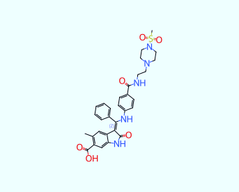 Cc1cc2c(cc1C(=O)O)NC(=O)/C2=C(\Nc1ccc(C(=O)NCCN2CCN(S(C)(=O)=O)CC2)cc1)c1ccccc1